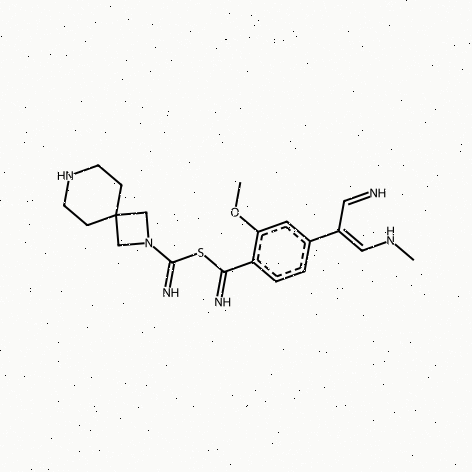 CN/C=C(\C=N)c1ccc(C(=N)SC(=N)N2CC3(CCNCC3)C2)c(OC)c1